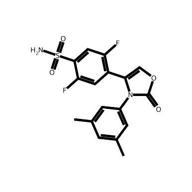 Cc1cc(C)cc(-n2c(-c3cc(F)c(S(N)(=O)=O)cc3F)coc2=O)c1